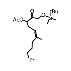 CC(=O)OC(CC=C(C)CCCC(C)C)C(=O)CO[Si](C)(C)C(C)(C)C